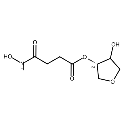 O=C(CCC(=O)O[C@H]1COCC1O)NO